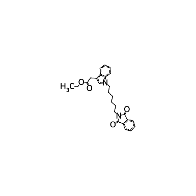 CCOC(=O)Cc1cn(CCCCCCN2C(=O)c3ccccc3C2=O)c2ccccc12